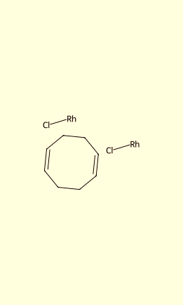 C1=CCCC=CCC1.[Cl][Rh].[Cl][Rh]